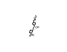 CCON=Cc1ccc(CCOc2cccc([N+](=O)[O-])c2)cc1.Cl